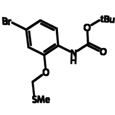 CSCOc1cc(Br)ccc1NC(=O)OC(C)(C)C